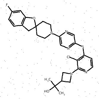 CC(C)(O)C1CN(c2nccc(Sc3cnc(N4CCC5(CC4)Cc4ccc(F)cc4O5)cn3)c2Cl)C1